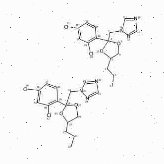 CCCC1COC(Cn2cncn2)(c2ccc(Cl)cc2Cl)O1.CCCC1COC(Cn2cncn2)(c2ccc(Cl)cc2Cl)O1